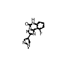 Cn1cc(-c2nc3c4c(F)cccc4[nH]c(=O)n3n2)cn1